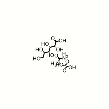 NC(N)=O.O=C(O)[C@H](O)[C@@H](O)[C@H](O)[C@H](O)CO.O=S(=O)(O)O